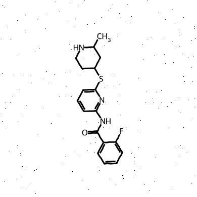 CC1CC(Sc2cccc(NC(=O)c3ccccc3F)n2)CCN1